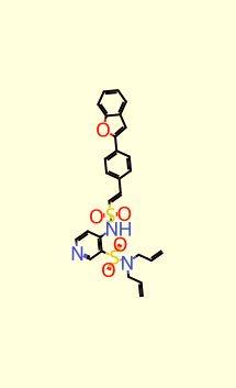 C=CCN(CC=C)S(=O)(=O)c1cnccc1NS(=O)(=O)C=Cc1ccc(-c2cc3ccccc3o2)cc1